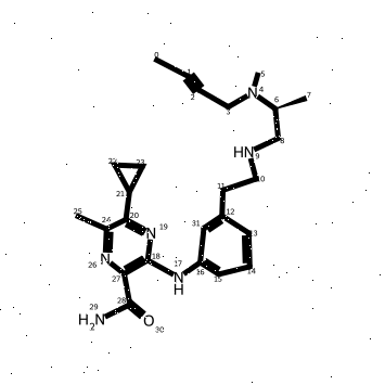 CC#CCN(C)[C@@H](C)CNCCc1cccc(Nc2nc(C3CC3)c(C)nc2C(N)=O)c1